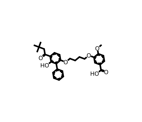 COc1ccc(C(=O)O)cc1OCCCCOc1ccc(C(=O)CC(C)(C)C)c(O)c1-c1ccccc1